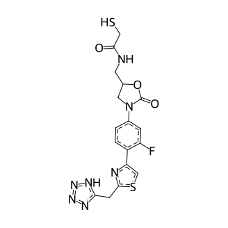 O=C(CS)NCC1CN(c2ccc(-c3csc(Cc4nnn[nH]4)n3)c(F)c2)C(=O)O1